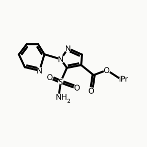 CC(C)OC(=O)c1cnn(-c2ccccn2)c1S(N)(=O)=O